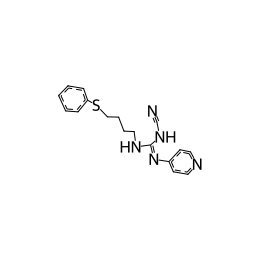 N#CNC(=Nc1ccncc1)NCCCCSc1ccccc1